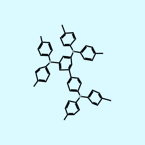 Cc1ccc(N(c2ccc(C)cc2)c2ccc(-c3cc(N(c4ccc(C)cc4)c4ccc(C)cc4)cc(N(c4ccc(C)cc4)c4ccc(C)cc4)c3)cc2)cc1